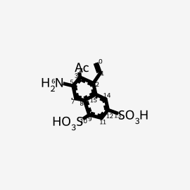 C=Cc1c(C(C)=O)c(N)[c]c2c(S(=O)(=O)O)cc(S(=O)(=O)O)cc12